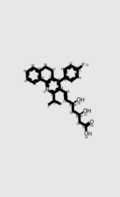 CC(C)c1nc2c(c(-c3ccc(F)cc3)c1C=C[C@@H](O)C[C@@H](O)CC(=O)O)CCc1ccccc1-2